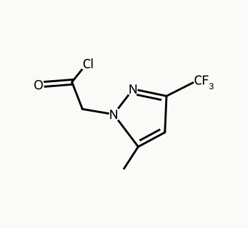 Cc1cc(C(F)(F)F)nn1CC(=O)Cl